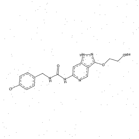 COCCOc1n[nH]c2cc(NC(=O)NCc3ccc(Cl)cc3)ncc12